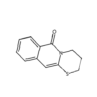 O=c1c2ccccc2cc2n1CCCS2